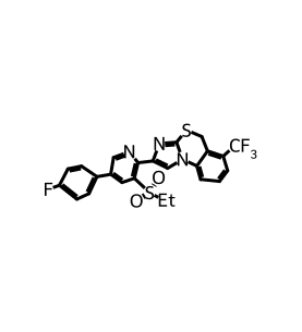 CCS(=O)(=O)c1cc(-c2ccc(F)cc2)cnc1-c1cn2c(n1)SCc1c-2cccc1C(F)(F)F